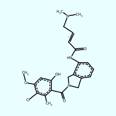 COc1cc(O)c(C(=O)N2Cc3cccc(NC(=O)/C=C/CN(C)C)c3C2)c(C)c1Cl